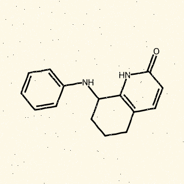 O=c1ccc2c([nH]1)C(Nc1ccccc1)CCC2